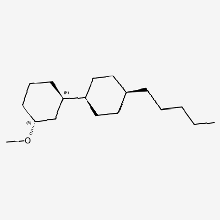 CCCCC[C@H]1CC[C@@H]([C@@H]2CCC[C@@H](OC)C2)CC1